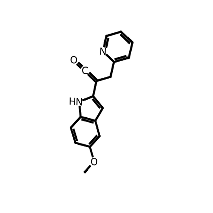 COc1ccc2[nH]c(C(=C=O)Cc3ccccn3)cc2c1